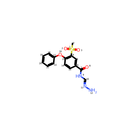 CS(=O)(=O)c1cc(C(=O)NC=NN)ccc1Oc1ccccc1